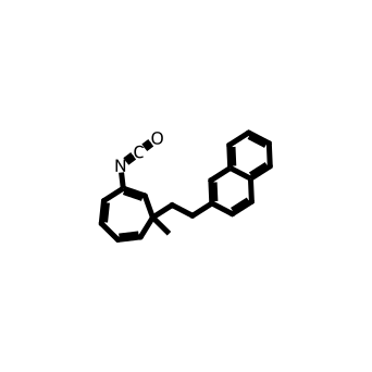 CC1(CCc2ccc3ccccc3c2)C=CC=CC(N=C=O)=C1